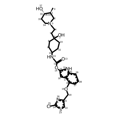 C[C@H]1CN(CCC2(O)CCC(NC(=O)Oc3cc4c(OCc5csc(Cl)n5)cccc4[nH]3)CC2)CC[C@@H]1O